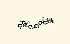 CC(C)(C)OC(=O)NC1CCN(c2ccc(CN3CCC(NC(=O)c4ccc(F)c(-c5cccnc5)c4)CC3)cn2)CC1